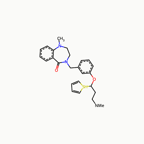 CNCCC(Oc1cccc(CN2CCN(C)c3ccccc3C2=O)c1)[SH]1C=CC=C1